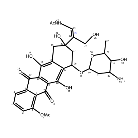 COc1cccc2c1C(=O)c1c(O)c3c(c(O)c1C2=O)CC(O)(/C(=C\NC(C)=O)CO)CC3OC1CC(N)C(O)C(C)O1